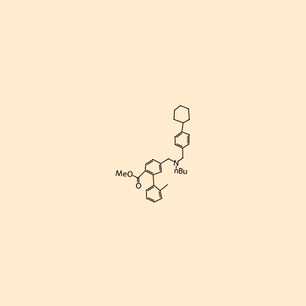 CCCCN(Cc1ccc(C2CCCCC2)cc1)Cc1ccc(C(=O)OC)c(-c2ccccc2C)c1